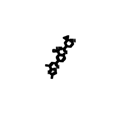 Cc1cn2nc(-c3ccc4nc(C5CCNC6(CC6)C5)[nH]c(=O)c4c3)cc(C)c2n1